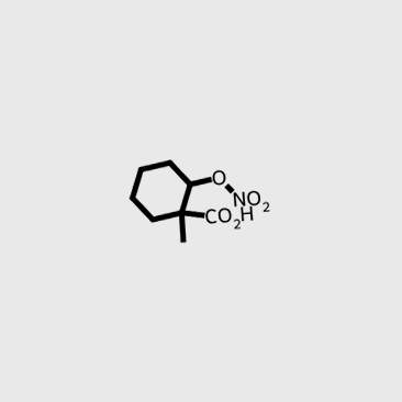 CC1(C(=O)O)CCCCC1O[N+](=O)[O-]